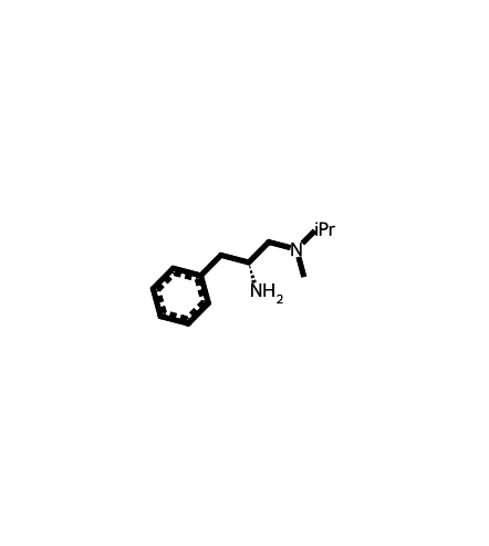 CC(C)N(C)C[C@H](N)Cc1ccccc1